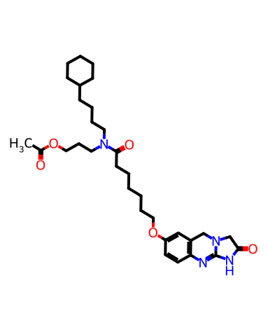 CC(=O)OCCCN(CCCCC1CCCCC1)C(=O)CCCCCCOc1ccc2c(c1)CN1CC(=O)NC1=N2